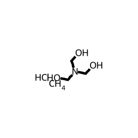 C.Cl.OCN(CO)CO